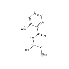 CCCCc1ccccc1C(=O)OC(CCC)COC